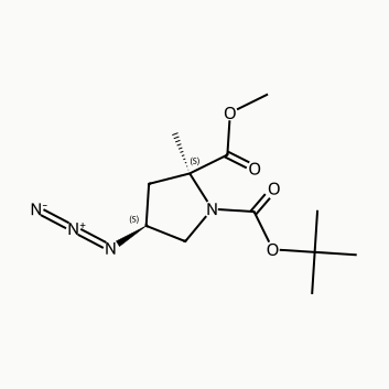 COC(=O)[C@]1(C)C[C@H](N=[N+]=[N-])CN1C(=O)OC(C)(C)C